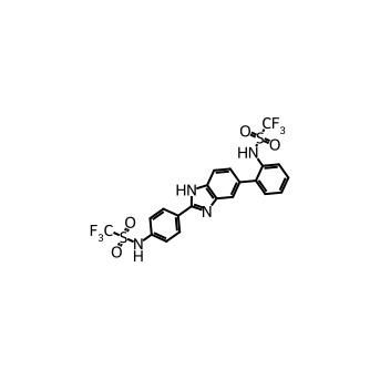 O=S(=O)(Nc1ccc(-c2nc3cc(-c4ccccc4NS(=O)(=O)C(F)(F)F)ccc3[nH]2)cc1)C(F)(F)F